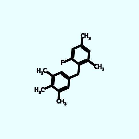 Cc1cc(C)c(Cc2cc(C)c(C)c(C)c2)c(F)c1